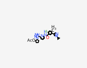 CC(=O)O[C@H]1CCC[C@H]1n1nnnc1-c1cccc(NC(=O)c2cc(-c3cnn(C4CC4)c3)c(C)cc2F)n1